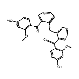 COc1cc(O)ccc1C(=O)c1ccccc1Cc1ccccc1C(=O)c1ccc(O)cc1OC